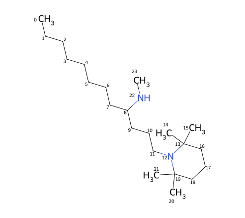 CCCCCCCCC(CCCN1C(C)(C)CCCC1(C)C)NC